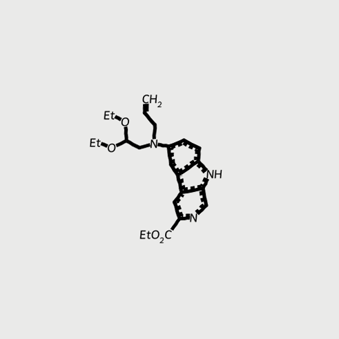 C=CCN(CC(OCC)OCC)c1ccc2[nH]c3cnc(C(=O)OCC)cc3c2c1